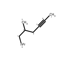 [CH2]CCCC(C)CC#CC